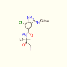 CCC(C)(NC(=O)c1cc(Cl)c(N)c(/C=N/OC)c1)C(=O)CI